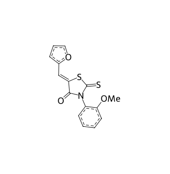 COc1ccccc1N1C(=O)C(=Cc2ccco2)SC1=S